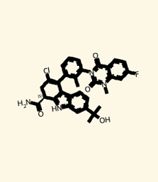 Cc1c(C2=C(Cl)C[C@H](C(N)=O)c3[nH]c4cc(C(C)(C)O)ccc4c32)cccc1-n1c(=O)c2ccc(F)cc2n(C)c1=O